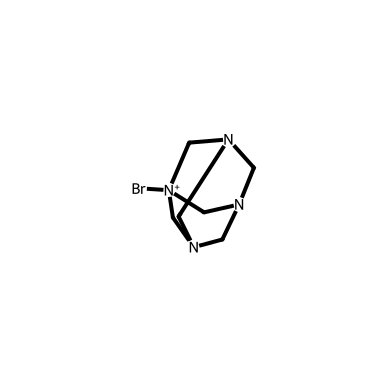 Br[N+]12CN3CN(CN(C3)C1)C2